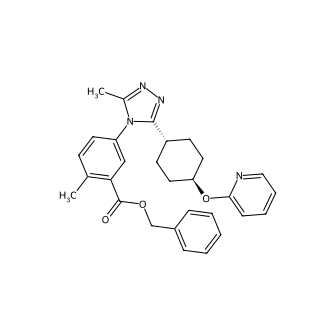 Cc1ccc(-n2c(C)nnc2[C@H]2CC[C@H](Oc3ccccn3)CC2)cc1C(=O)OCc1ccccc1